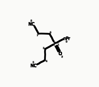 CCCP(=O)(CCC#N)CCC#N